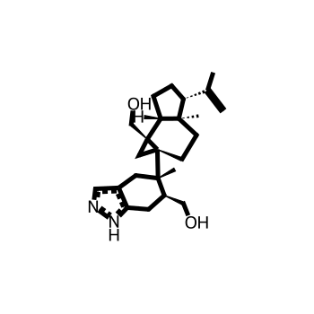 C=C(C)[C@H]1CC[C@@H]2[C@]1(C)CC[C@@]1([C@@]3(C)Cc4cn[nH]c4C[C@@H]3CO)C[C@]21CO